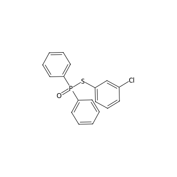 O=P(Sc1cccc(Cl)c1)(c1ccccc1)c1ccccc1